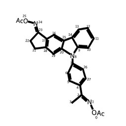 CC(=O)ON=C(C)c1ccc(-n2c3ccccc3c3cc4c(cc32)CC/C4=N\OC(C)=O)cc1